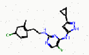 CC1=C(CCNc2ncc(Br)c(Nc3cc(C4CC4)n[nH]3)n2)C=CC(Cl)C1